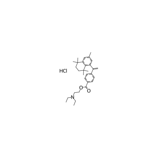 C=C(c1ccc(C(=O)OCCN(CC)CC)cc1)c1cc(C)cc2c1C(C)(C)CCC2(C)C.Cl